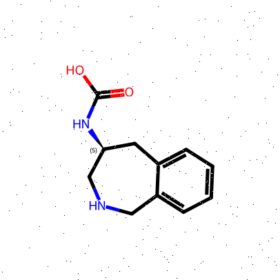 O=C(O)N[C@@H]1CNCc2ccccc2C1